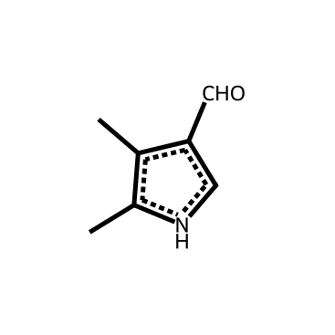 Cc1[nH]cc(C=O)c1C